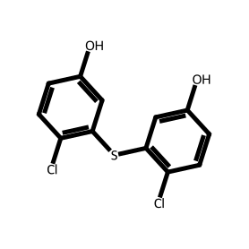 Oc1ccc(Cl)c(Sc2cc(O)ccc2Cl)c1